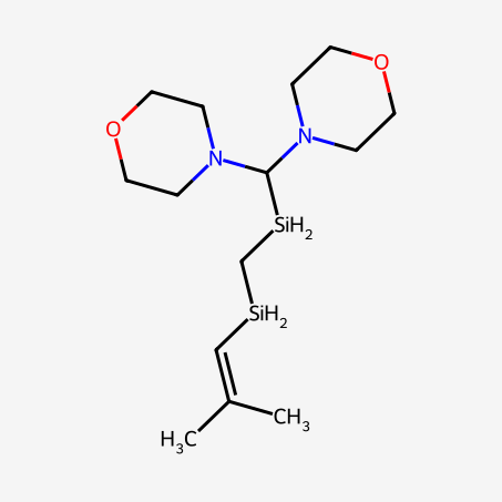 CC(C)=C[SiH2]C[SiH2]C(N1CCOCC1)N1CCOCC1